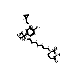 O=C1CCN(CCCCCCCNC2(c3ccc(F)c(OCC4CC4)c3)COC2)C(=O)N1